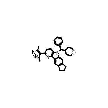 Cc1nnn(C)c1-c1ccc2c(n1)c1cc3c(cc1n2C(c1ccccc1)C1CCOCC1)CCC3